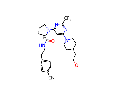 N#Cc1ccc(CCNC(=O)[C@@H]2CCCN2c2cc(N3CCC(CCO)CC3)nc(C(F)(F)F)n2)cc1